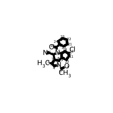 CC(=O)n1cc(C)c2c1-c1ccc(Cl)cc1N(C(=O)c1ccccc1)C2C#N